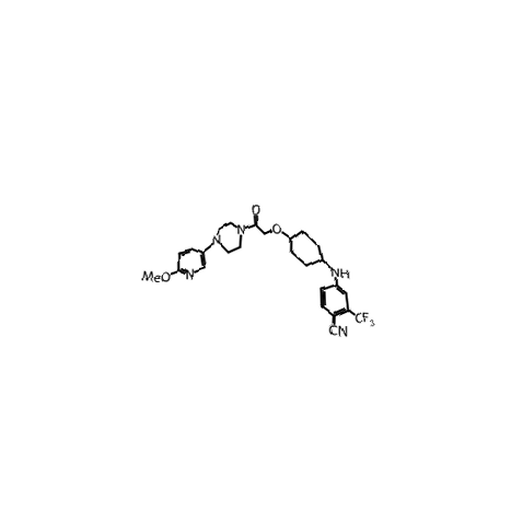 COc1ccc(N2CCN(C(=O)COC3CCC(Nc4ccc(C#N)c(C(F)(F)F)c4)CC3)CC2)cn1